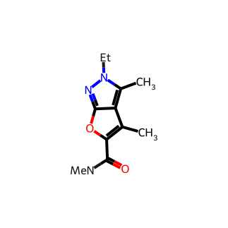 CCn1nc2oc(C(=O)NC)c(C)c2c1C